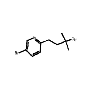 CC(C)(O)CCc1ccc(Br)cn1